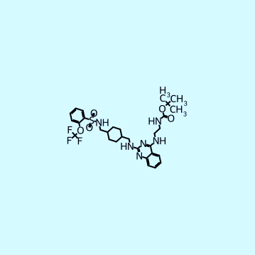 CC(C)(C)OC(=O)NCCNc1nc(NCC2CCC(CNS(=O)(=O)c3ccccc3OC(F)(F)F)CC2)nc2ccccc12